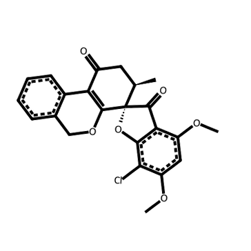 COc1cc(OC)c2c(c1Cl)O[C@]1(C2=O)C2=C(C(=O)C[C@H]1C)c1ccccc1CO2